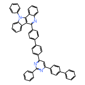 c1ccc(-c2ccc(-c3cc(-c4ccc(-c5ccc(-c6nc7ccccc7c7c6c6ccccc6n7-c6ccccc6)cc5)cc4)nc(-c4ccccc4)n3)cc2)cc1